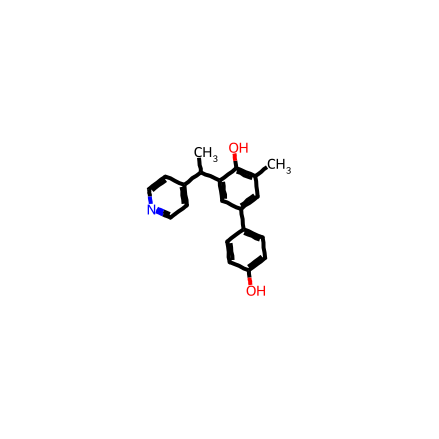 Cc1cc(-c2ccc(O)cc2)cc(C(C)c2ccncc2)c1O